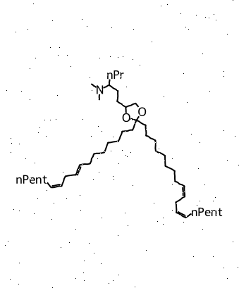 CCCCC/C=C\C/C=C\CCCCCCCCC1(CCCCCCC/C=C/C/C=C\CCCCC)OCC(CCC(CCC)N(C)C)O1